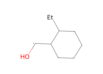 CCC1CCCCC1[CH]O